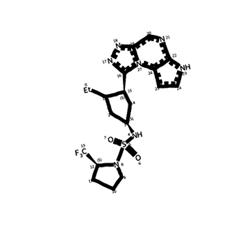 CCC1C[C@H](NS(=O)(=O)N2CCC[C@H]2C(F)(F)F)C[C@@H]1c1nnc2cnc3[nH]ccc3n12